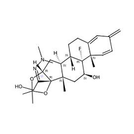 C=C1C=C[C@@]2(C)C(=C1)CC[C@H]1[C@@H]3C[C@H]4OC(C)(C)O[C@@]4(/C(CO)=N\N(C)C)[C@@]3(C)C[C@H](O)[C@@]12F